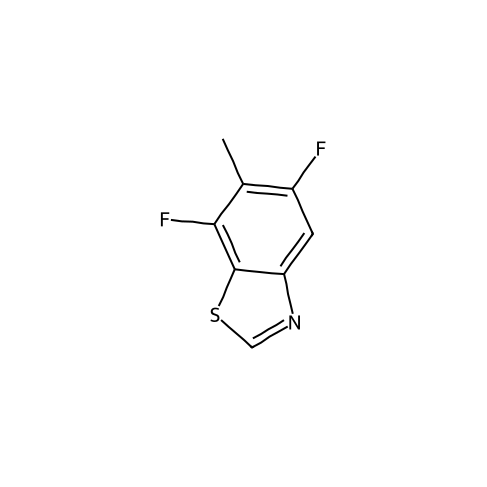 Cc1c(F)cc2ncsc2c1F